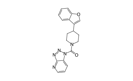 O=C(N1CCC(c2coc3ccccc23)CC1)n1nnc2ncccc21